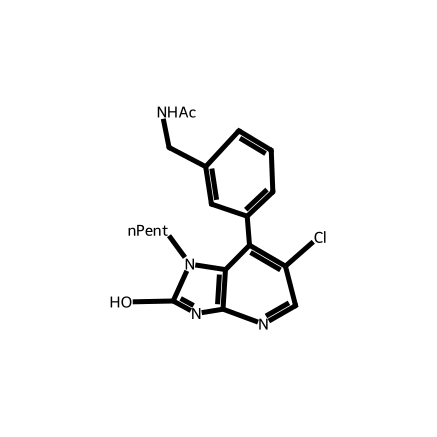 CCCCCn1c(O)nc2ncc(Cl)c(-c3cccc(CNC(C)=O)c3)c21